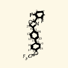 Fc1cccc(F)c1C1=NC(c2ccc(-c3ccc(OC(F)(F)F)cc3)cc2)CO1